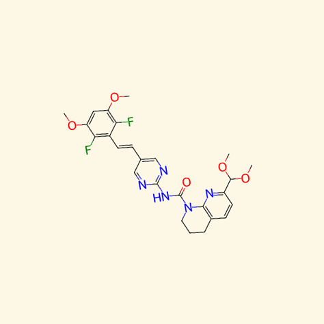 COc1cc(OC)c(F)c(/C=C/c2cnc(NC(=O)N3CCCc4ccc(C(OC)OC)nc43)nc2)c1F